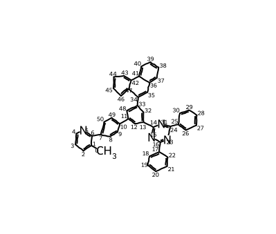 Cc1cccnc1-c1ccc(-c2cc(-c3nc(-c4ccccc4)nc(-c4ccccc4)n3)cc(-c3cc4ccccc4c4ccccc34)c2)cc1